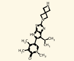 Cc1c(-c2[nH]c3sc(N4CC5(CNC5)C4)nc3c2C(C)C)cn(C)c(=O)c1C